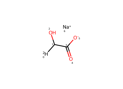 [2H]C(O)C(=O)[O-].[Na+]